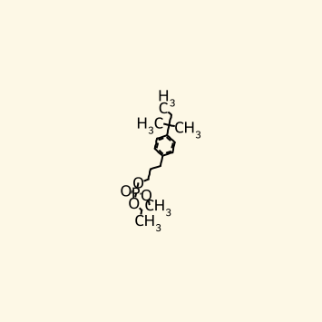 CCOP(=O)(OC)OCCCc1ccc(C(C)(C)CC)cc1